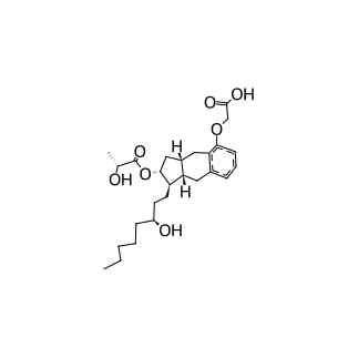 CCCCC[C@H](O)CC[C@@H]1[C@H]2Cc3cccc(OCC(=O)O)c3C[C@H]2C[C@H]1OC(=O)[C@@H](C)O